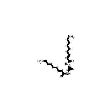 C=C(/C=C/CCCCCN)N[C@@H]1C[C@H]1NC(=O)/C=C/CCCCCN